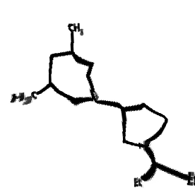 CCC(CC)N1CCC(N2CC(C)CC(C)C2)C1